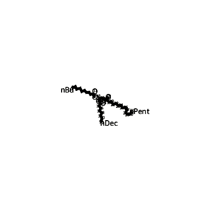 CCCC/C=C\CCCCCCCC(=O)OC[C@@H](COC(=O)CCCCCCC/C=C\C/C=C\CCCCC)OC(=O)CCCCCCCCCCCCCCCCC